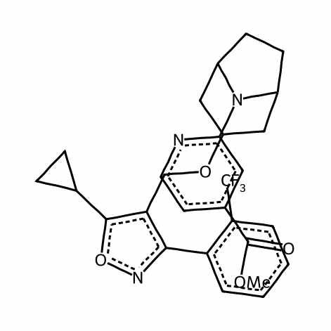 COC(=O)c1ccnc(N2C3CCC2CC(OCc2c(-c4ccccc4C(F)(F)F)noc2C2CC2)C3)c1